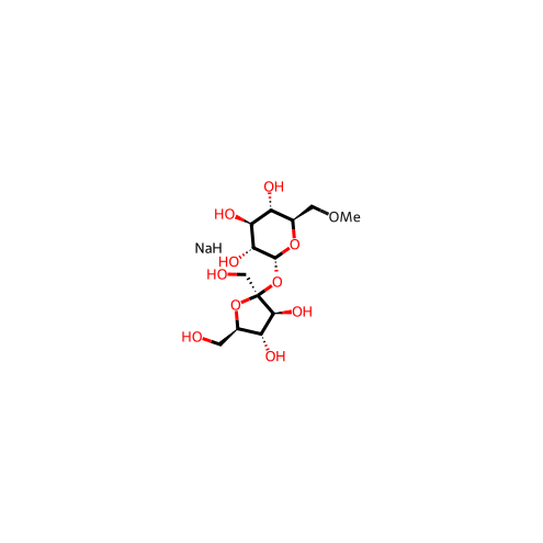 COC[C@H]1O[C@H](O[C@]2(CO)O[C@H](CO)[C@@H](O)[C@@H]2O)[C@H](O)[C@@H](O)[C@@H]1O.[NaH]